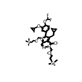 C[Si](C)(C)CCOCn1ncc2c(c(CC3CC3)c(-c3ccc(OC(F)F)c(OC4CC4)c3)n2COCC[Si](C)(C)C)c1=O